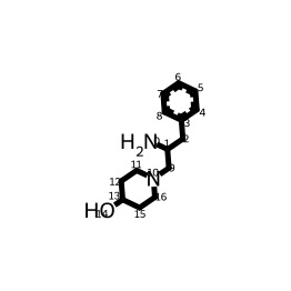 NC(Cc1ccccc1)CN1CCC(O)CC1